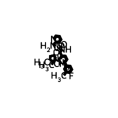 Cc1cc(-c2ccc(C(=O)NS(=O)(=O)c3cccnc3N)c(N3CCC(C)C3(C)C)n2)ccc1F